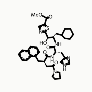 COC(=O)c1cnc([C@H](O)[C@H](CC2CCCCC2)NC(=O)[C@H](Cc2c[nH]cn2)NC(=O)[C@@H](CC(=O)N2CCCC2)Cc2cccc3ccccc23)s1